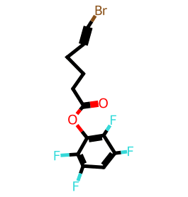 O=C(CCCC#CBr)Oc1c(F)c(F)cc(F)c1F